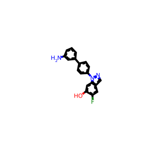 Nc1cccc(-c2ccc(-n3ncc4cc(F)c(O)cc43)cc2)c1